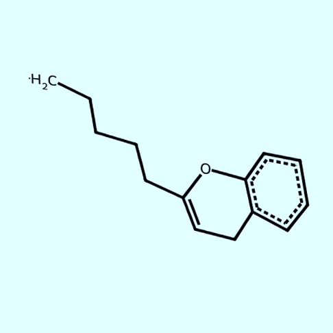 [CH2]CCCCC1=CCc2ccccc2O1